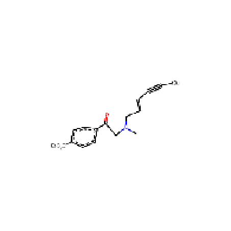 CCOC(=O)c1ccc(C(=O)CN(C)CC=CC#CC(C)(C)C)cc1